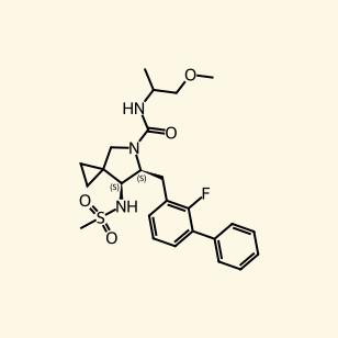 COCC(C)NC(=O)N1CC2(CC2)[C@H](NS(C)(=O)=O)[C@@H]1Cc1cccc(-c2ccccc2)c1F